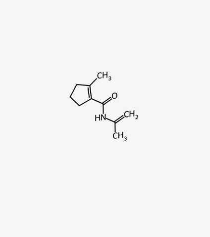 C=C(C)NC(=O)C1=C(C)CCC1